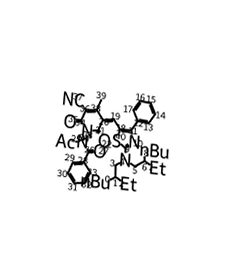 CCCCC(CC)CN(CC(CC)CCCC)c1nc(-c2ccccc2)c(/C=C2\C(=O)N(N(C(C)=O)C(=O)c3ccccc3)C(=O)C(C#N)=C2C)s1